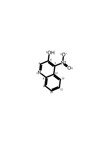 O=[N+]([O-])c1c(O)cnc2ccccc12